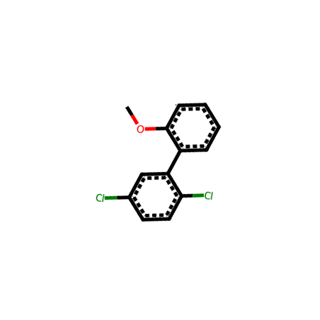 COc1[c]cccc1-c1cc(Cl)ccc1Cl